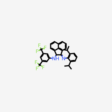 CC(C)c1cccc(C(C)C)c1/N=C1\c2cccc3cccc(c23)C1Nc1cc(C(F)(F)F)cc(C(F)(F)F)c1